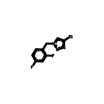 CCc1cn(Cc2ccc(F)cc2F)nn1